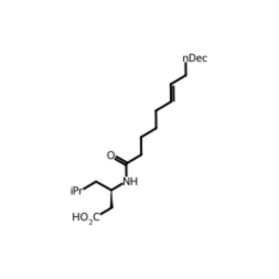 CCCCCCCCCCCC=CCCCCC(=O)N[C@@H](CC(=O)O)CC(C)C